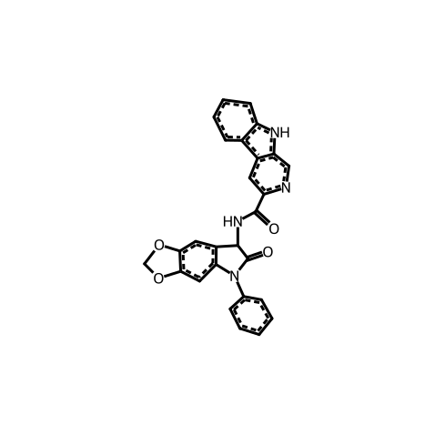 O=C(NC1C(=O)N(c2ccccc2)c2cc3c(cc21)OCO3)c1cc2c(cn1)[nH]c1ccccc12